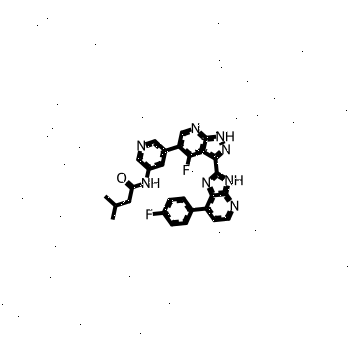 CC(C)CC(=O)Nc1cncc(-c2cnc3[nH]nc(-c4nc5c(-c6ccc(F)cc6)ccnc5[nH]4)c3c2F)c1